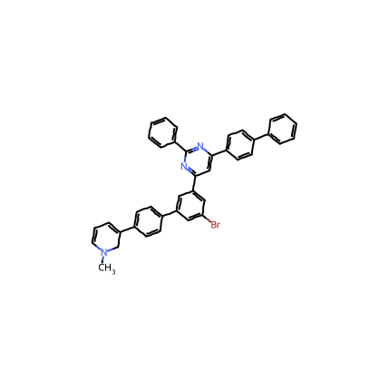 CN1C=CC=C(c2ccc(-c3cc(Br)cc(-c4cc(-c5ccc(-c6ccccc6)cc5)nc(-c5ccccc5)n4)c3)cc2)C1